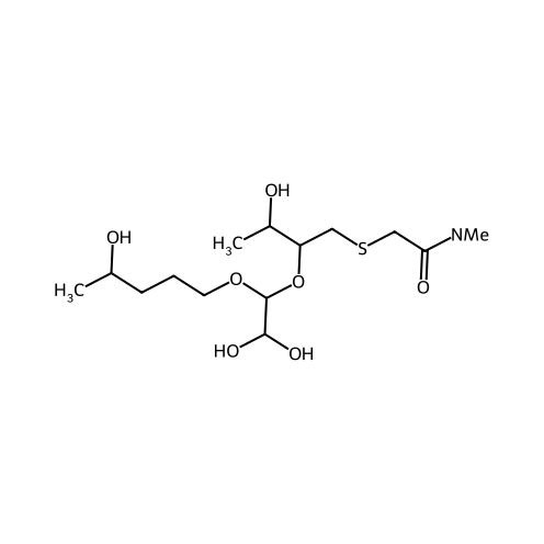 CNC(=O)CSCC(OC(OCCCC(C)O)C(O)O)C(C)O